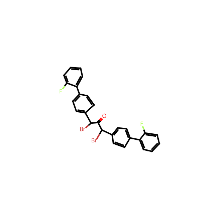 O=C(C(Br)c1ccc(-c2ccccc2F)cc1)C(Br)c1ccc(-c2ccccc2F)cc1